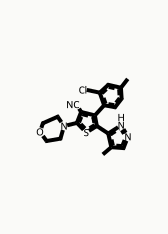 Cc1ccc(-c2c(-c3[nH]ncc3C)sc(N3CCOCC3)c2C#N)c(Cl)c1